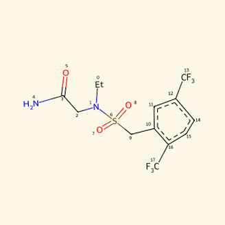 CCN(CC(N)=O)S(=O)(=O)Cc1cc(C(F)(F)F)ccc1C(F)(F)F